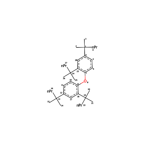 CCCC(C)(C)c1ccc(Oc2ccc(C(C)(C)CCC)cc2C(C)(C)CCC)c(C(C)(C)CCC)c1